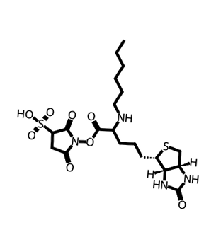 CCCCCCNC(CCC[C@@H]1SC[C@@H]2NC(=O)N[C@@H]21)C(=O)ON1C(=O)CC(S(=O)(=O)O)C1=O